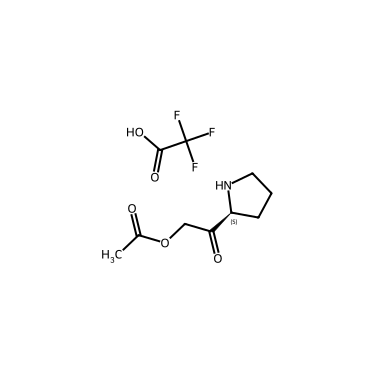 CC(=O)OCC(=O)[C@@H]1CCCN1.O=C(O)C(F)(F)F